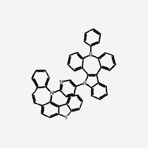 C1=Cc2ccc3sc4ccccc4c3c2N(c2ccc(-n3c4c(c5ccccc53)-c3ccccc3N(c3ccccc3)c3ccccc3-4)cn2)c2ccccc21